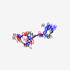 CO[C@H]1/C=C\C=C(/C)C(=O)NC2=CC(=O)C(NCCCCCCNC(=O)OCCN3CCN(c4cc(Nc5ncc(C(=O)Nc6c(C)cccc6Cl)s5)nc(C)n4)CC3)=C(C[C@@H](C)C[C@H](OC)[C@@H](O)C/C=C(\C)[C@@H]1OC(N)=O)C2=O